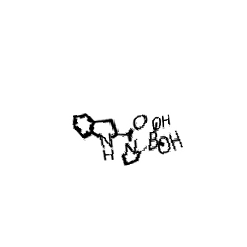 O=C([C@@H]1Cc2ccccc2N1)N1CCC[C@H]1B(O)O